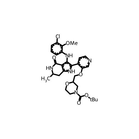 COc1c(Cl)cccc1Nc1c(-c2ccncc2OCC2CN(C(=O)OC(C)(C)C)CCO2)[nH]c2c1C(=O)NC(C)C2